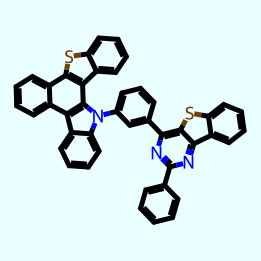 c1ccc(-c2nc(-c3cccc(-n4c5ccccc5c5c6ccccc6c6sc7ccccc7c6c54)c3)c3sc4ccccc4c3n2)cc1